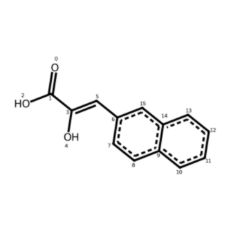 O=C(O)/C(O)=C/c1ccc2ccccc2c1